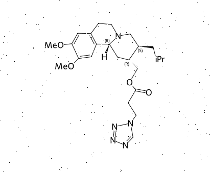 COc1cc2c(cc1OC)[C@H]1C[C@@H](COC(=O)CCn3cnnn3)[C@H](CC(C)C)CN1CC2